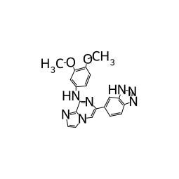 COc1ccc(Nc2nc(-c3ccc4nn[nH]c4c3)cn3ccnc23)cc1OC